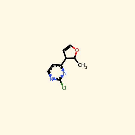 CC1OC=CC1c1ccnc(Cl)n1